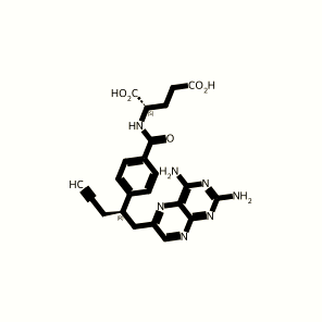 C#CC[C@H](Cc1cnc2nc(N)nc(N)c2n1)c1ccc(C(=O)N[C@@H](CCC(=O)O)C(=O)O)cc1